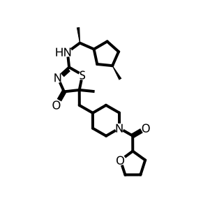 C[C@@H]1CCC([C@H](C)NC2=NC(=O)C(C)(CC3CCN(C(=O)C4CCCO4)CC3)S2)C1